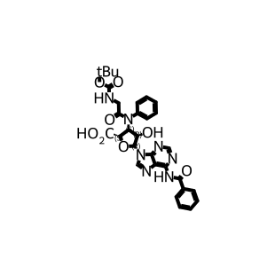 CC(C)(C)OC(=O)NCC(=O)N(c1ccccc1)[C@H]1[C@@H](O)[C@H](n2cnc3c(NC(=O)c4ccccc4)ncnc32)O[C@@H]1C(=O)O